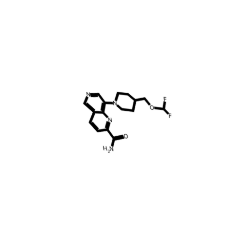 NC(=O)c1ccc2cncc(N3CCC(COC(F)F)CC3)c2n1